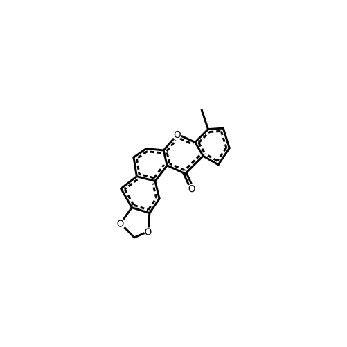 Cc1cccc2c(=O)c3c(ccc4cc5c(cc43)OCO5)oc12